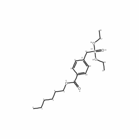 CCCCCCOC(=O)c1ccc(CP(=O)(OCC)OCC)cc1